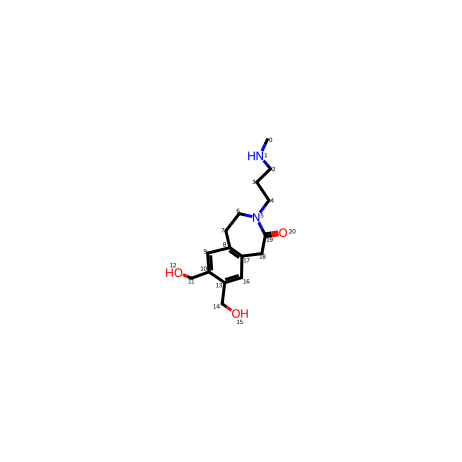 CNCCCN1CCc2cc(CO)c(CO)cc2CC1=O